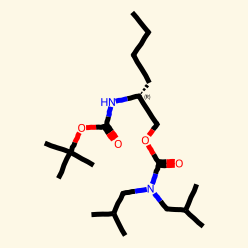 CCCC[C@H](COC(=O)N(CC(C)C)CC(C)C)NC(=O)OC(C)(C)C